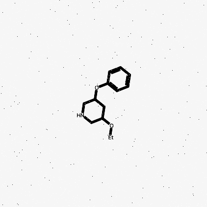 CCOC1CNCC(Oc2ccccc2)C1